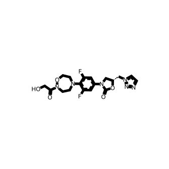 O=C(CO)N1CCN(c2c(F)cc(N3C[C@H](Cn4ccnn4)OC3=O)cc2F)CCO1